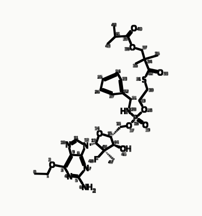 CCOc1nc(N)nc2c1ncn2[C@@H]1O[C@H](COP(=O)(NCc2ccccc2)OCCSC(=O)C(C)(C)COC(=O)C(C)C)[C@@H](O)[C@@]1(C)F